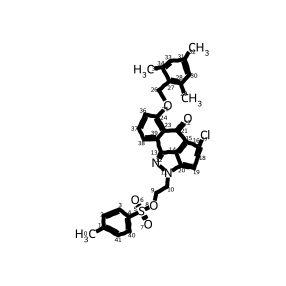 Cc1ccc(S(=O)(=O)OCCn2nc3c4c(c(Cl)ccc42)C(=O)c2c(OCc4c(C)cc(C)cc4C)cccc2-3)cc1